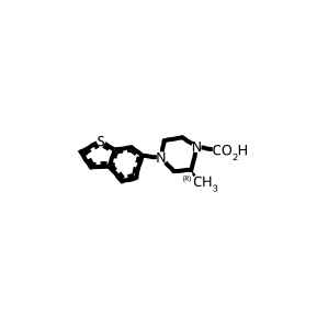 C[C@@H]1CN(c2ccc3ccsc3c2)CCN1C(=O)O